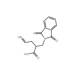 N=CCC(CN1C(=O)c2ccccc2C1=O)C(=O)O